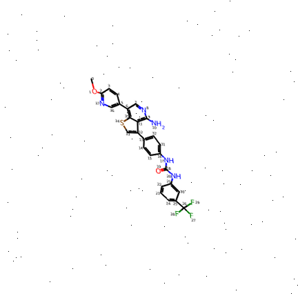 COc1ccc(-c2cnc(N)c3c(-c4ccc(NC(=O)Nc5cccc(C(F)(F)F)c5)cc4)csc23)cn1